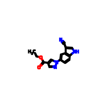 CCOC(=O)c1cnn(-c2ccc3[nH]cc(C#N)c3c2)c1